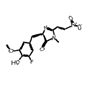 COc1cc(C=C2N=C(/C=C/[N+](=O)[O-])N(C)C2=O)cc(F)c1O